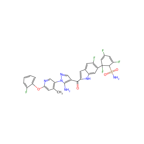 Cc1cc(Oc2ccccc2F)ncc1-n1ncc(C(=O)c2cc3cc(F)c(C4(F)C=C(F)C=C(F)C4S(N)(=O)=O)cc3[nH]2)c1N